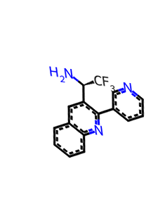 N[C@H](c1cc2ccccc2nc1-c1cccnc1)C(F)(F)F